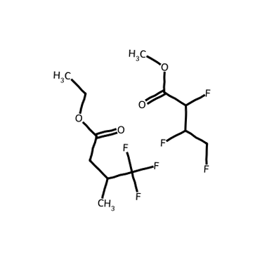 CCOC(=O)CC(C)C(F)(F)F.COC(=O)C(F)C(F)CF